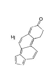 I.O=C1C=c2ccc3c4c(ccc3c2CC1)=CC=C4